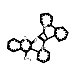 Cc1c(-c2cccc[n+]2C2=CC3C2c2ccccc2-c2cccc[n+]23)c(=O)oc2ccccc12